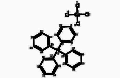 [Cl][Ga-]([Cl])([Cl])[Cl].c1ccc([P+](c2ccccc2)(c2ccccc2)c2ccccc2)cc1